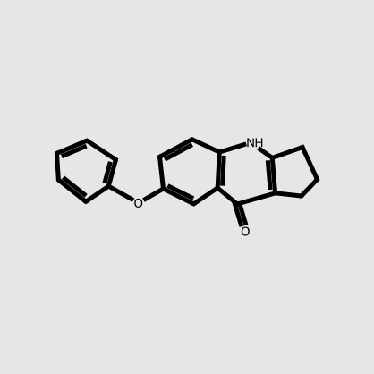 O=c1c2c([nH]c3ccc(Oc4ccccc4)cc13)CCC2